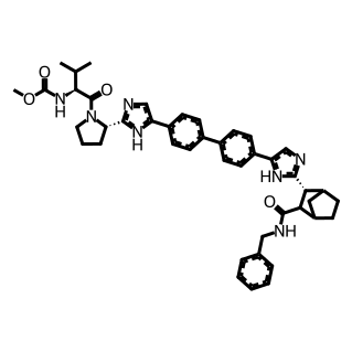 COC(=O)N[C@H](C(=O)N1CCC[C@H]1c1ncc(-c2ccc(-c3ccc(-c4cnc([C@@H]5C6CCC(C6)C5C(=O)NCc5ccccc5)[nH]4)cc3)cc2)[nH]1)C(C)C